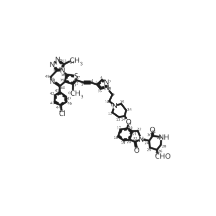 Cc1c(C#Cc2cnn(CCN3CCC(Oc4cccc5c4CN(C4CC(C=O)CNC4=O)C5=O)CC3)c2)sc2c1C(c1ccc(Cl)cc1)=NCc1nnc(C)n1-2